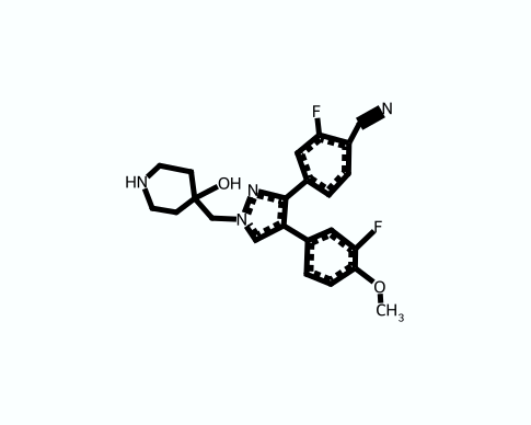 COc1ccc(-c2cn(CC3(O)CCNCC3)nc2-c2ccc(C#N)c(F)c2)cc1F